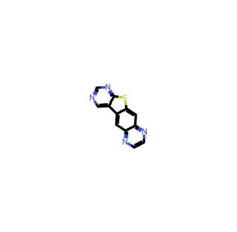 c1cnc2cc3c(cc2n1)sc1ncncc13